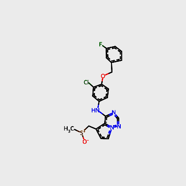 C[S+]([O-])Cc1ccn2ncnc(Nc3ccc(OCc4cccc(F)c4)c(Cl)c3)c12